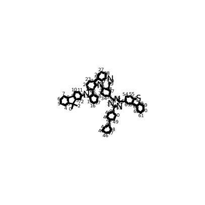 CC1(C)c2ccccc2-c2ccc(-n3c4ccccc4c4c3ccc3c5ccccc5n(-c5ccc(-c6nc(-c7ccc(-c8ccccc8)cc7)nc(-c7ccc8sc9ccccc9c8c7)n6)cc5C#N)c34)cc21